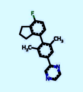 Cc1cc(-c2cnccn2)cc(C)c1-c1ccc(F)c2c1CCC2